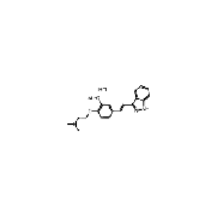 COc1cc(C=Cc2n[nH]c3ccccc23)ccc1OCCN(C)C.Cl